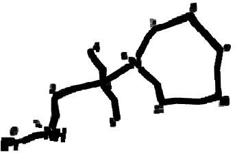 CC(C)NCC(C)(C)N1CCCCC1